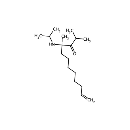 C=CCCCCCC[C@@](C)(NC(C)C)C(=O)C(C)C